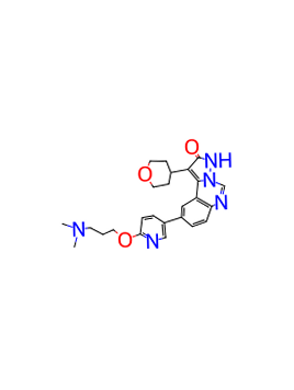 CN(C)CCCOc1ccc(-c2ccc3ncn4[nH]c(=O)c(C5CCOCC5)c4c3c2)cn1